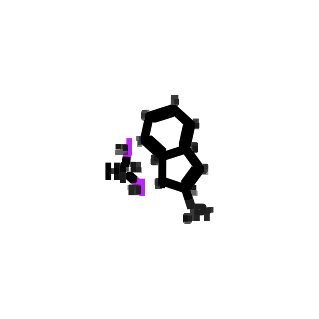 CC(C)C1=Cc2ccccc2[CH]1.[I][Hf][I]